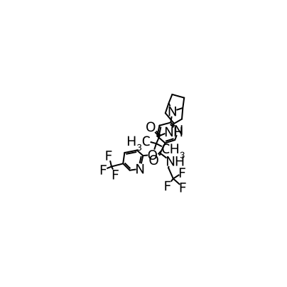 CC(C)(Oc1ccc(C(F)(F)F)cn1)C(=O)NC1CC2CCC(C1)N2c1ccc(C(=O)NCC(F)(F)F)cn1